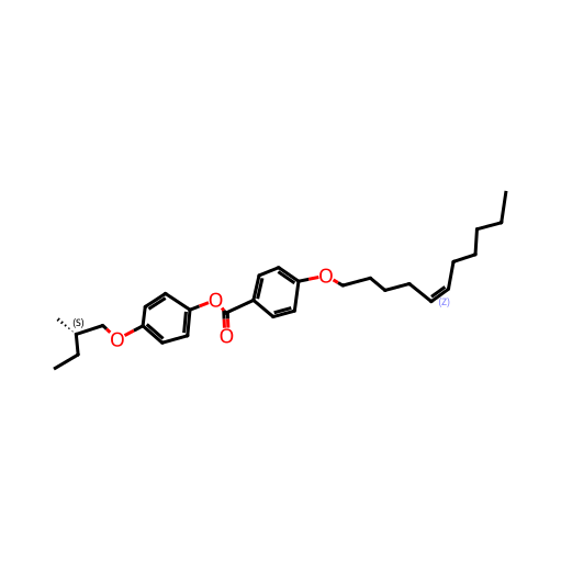 CCCCC/C=C\CCCCOc1ccc(C(=O)Oc2ccc(OC[C@@H](C)CC)cc2)cc1